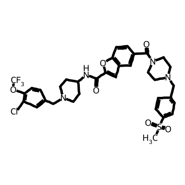 CS(=O)(=O)c1ccc(CN2CCN(C(=O)c3ccc4oc(C(=O)NC5CCN(Cc6ccc(OC(F)(F)F)c(Cl)c6)CC5)cc4c3)CC2)cc1